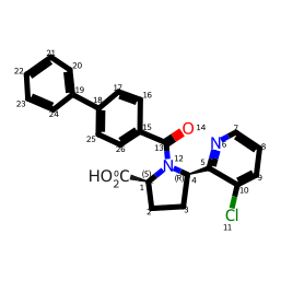 O=C(O)[C@@H]1CC[C@H](c2ncccc2Cl)N1C(=O)c1ccc(-c2ccccc2)cc1